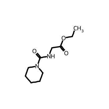 CCOC(=O)CNC(=O)N1CCCCC1